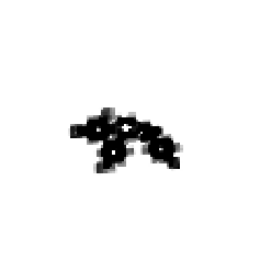 CC(C)(CN1CCN(c2ccc(Cl)cc2Cl)C(c2ccc(Cl)cc2)C1)c1ccc(Cl)cc1